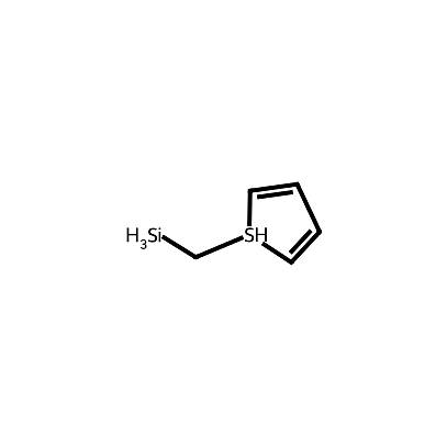 [SiH3]C[SH]1C=CC=C1